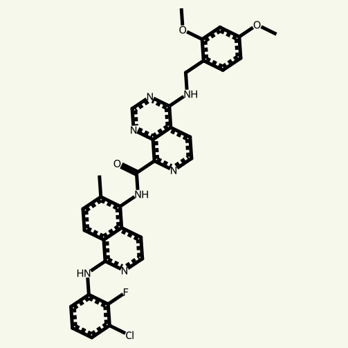 COc1ccc(CNc2ncnc3c(C(=O)Nc4c(C)ccc5c(Nc6cccc(Cl)c6F)nccc45)nccc23)c(OC)c1